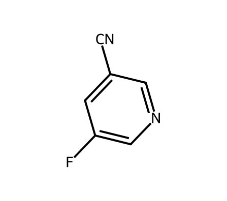 N#Cc1cncc(F)c1